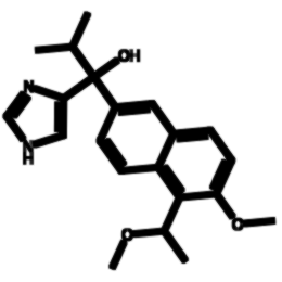 COc1ccc2cc(C(O)(c3c[nH]cn3)C(C)C)ccc2c1C(C)OC